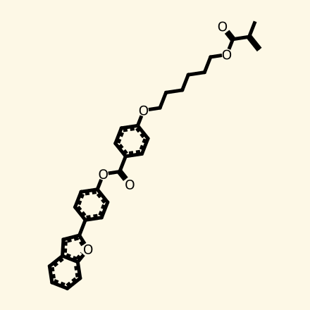 C=C(C)C(=O)OCCCCCCOc1ccc(C(=O)Oc2ccc(-c3cc4ccccc4o3)cc2)cc1